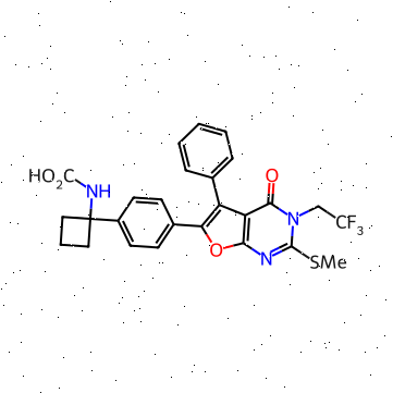 CSc1nc2oc(-c3ccc(C4(NC(=O)O)CCC4)cc3)c(-c3ccccc3)c2c(=O)n1CC(F)(F)F